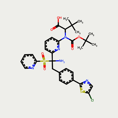 CC(C)(C)OC(=O)N(c1cccc(C(N)(Cc2ccc(-c3ncc(Cl)s3)cc2)S(=O)(=O)c2ccccn2)n1)C(C(=O)O)C(C)(C)C